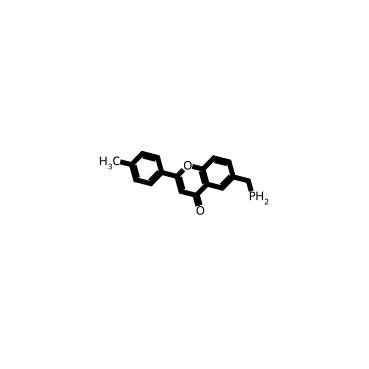 Cc1ccc(-c2cc(=O)c3cc(CP)ccc3o2)cc1